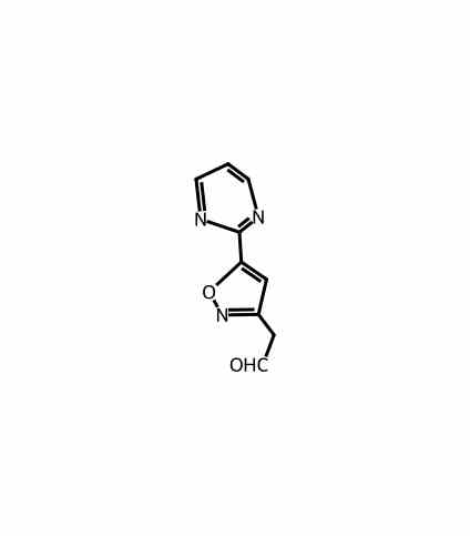 O=CCc1cc(-c2ncccn2)on1